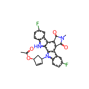 CC(=O)O[C@@H]1C=CC(n2c3ccc(F)cc3c3c4c(c5c6cc(F)ccc6[nH]c5c32)C(=O)N(C)C4=O)C1